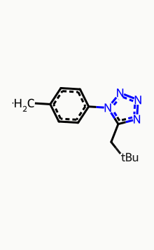 [CH2]c1ccc(-n2nnnc2CC(C)(C)C)cc1